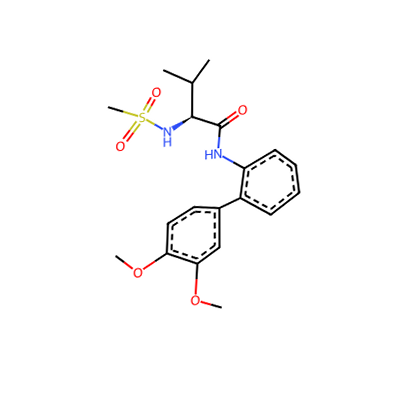 COc1ccc(-c2ccccc2NC(=O)[C@@H](NS(C)(=O)=O)C(C)C)cc1OC